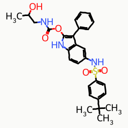 CC(O)CNC(=O)Oc1[nH]c2ccc(NS(=O)(=O)c3ccc(C(C)(C)C)cc3)cc2c1-c1ccccc1